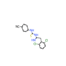 N#Cc1ccc(NC(=S)NC(=N)Cc2c(Cl)cccc2Cl)cc1